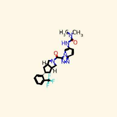 CN(C)C(=O)Nc1ccc2nnc(C(=O)N3C[C@H]4C[C@H](c5ccccc5C(F)(F)F)C[C@H]4C3)n2c1